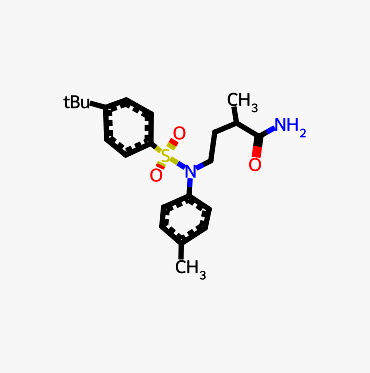 Cc1ccc(N(CCC(C)C(N)=O)S(=O)(=O)c2ccc(C(C)(C)C)cc2)cc1